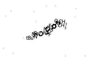 CN(C)C(=O)c1ccc(Oc2ncnc3c2c(F)cn3C2CCN(c3nc(C(C)(C)C)no3)CC2)c(F)c1